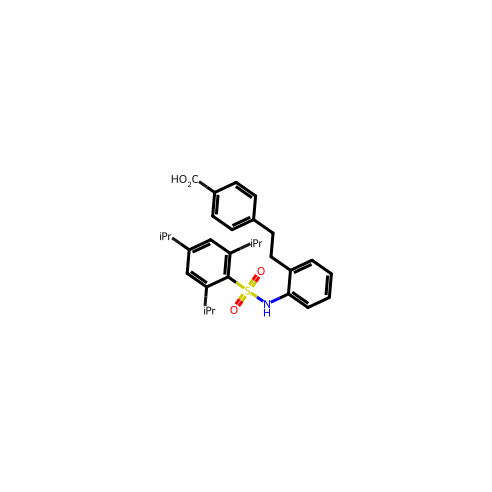 CC(C)c1cc(C(C)C)c(S(=O)(=O)Nc2ccccc2CCc2ccc(C(=O)O)cc2)c(C(C)C)c1